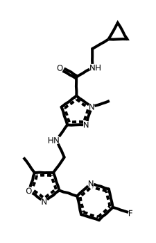 Cc1onc(-c2ccc(F)cn2)c1CNc1cc(C(=O)NCC2CC2)n(C)n1